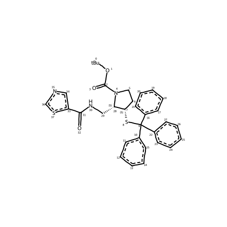 CC(C)(C)OC(=O)N1CC[C@H](SC(c2ccccc2)(c2ccccc2)c2ccccc2)[C@@H]1CNC(=O)c1cncs1